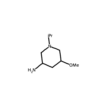 COC1CC(N)CN(C(C)C)C1